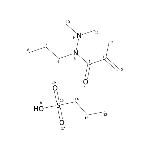 C=C(C)C(=O)N(CCC)N(C)C.CCCS(=O)(=O)O